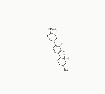 CCCCCC1CCC(c2ccc(C3CCC(CCCC)CC3(F)F)c(F)c2F)CO1